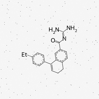 CCc1ccc(C2=CCCc3ccc(C(=O)N=C(N)N)cc32)cc1